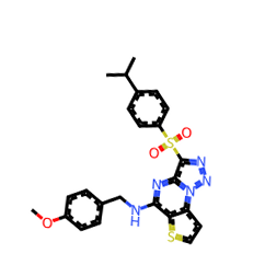 COc1ccc(CNc2nc3c(S(=O)(=O)c4ccc(C(C)C)cc4)nnn3c3ccsc23)cc1